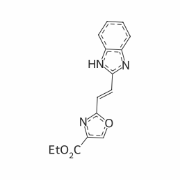 CCOC(=O)c1coc(C=Cc2nc3ccccc3[nH]2)n1